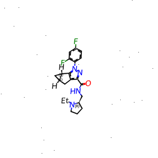 CCN1CCC[C@@H]1CNC(=O)c1nn(-c2ccc(F)cc2F)c2c1C[C@@H]1C[C@H]21